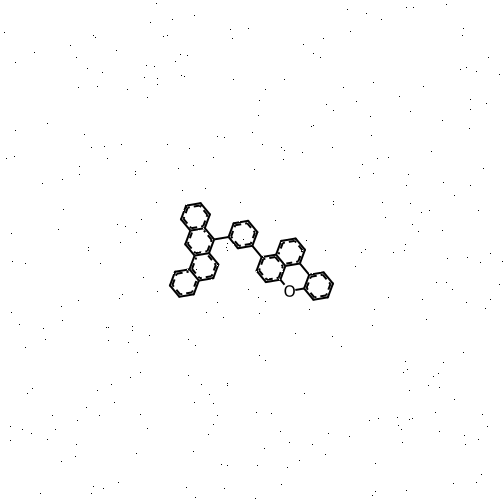 c1cc(-c2ccc3c4c(cccc24)-c2ccccc2O3)cc(-c2c3ccccc3cc3c2ccc2ccccc23)c1